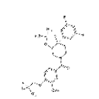 BC1(B)OC2CN(C(=O)c3ccc(OCC4(C(F)(F)F)CC4)c(OC)n3)CC[C@]2(c2cc(F)cc(F)c2)O1